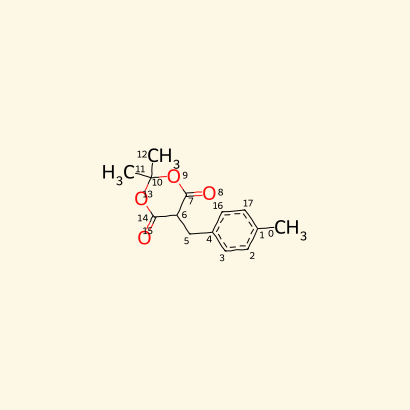 Cc1ccc(CC2C(=O)OC(C)(C)OC2=O)cc1